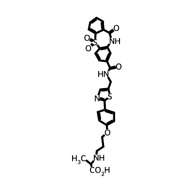 CC(NCCCOc1ccc(-c2ncc(CNC(=O)c3ccc4c(c3)NC(=O)c3ccccc3S4(=O)=O)s2)cc1)C(=O)O